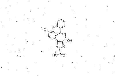 O=C(O)c1cn2c(n1)C(O)N=C(c1ccccc1F)c1cc(Cl)ccc1-2